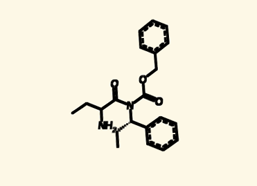 CCC(N)C(=O)N(C(=O)OCc1ccccc1)[C@@H](CC)c1ccccc1